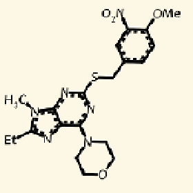 CCc1nc2c(N3CCOCC3)nc(SCc3ccc(OC)c([N+](=O)[O-])c3)nc2n1C